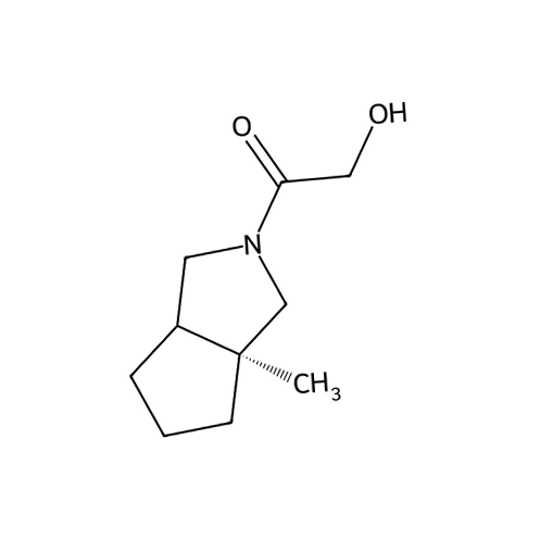 C[C@]12CCCC1CN(C(=O)CO)C2